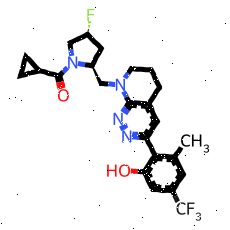 Cc1cc(C(F)(F)F)cc(O)c1-c1cc2c(nn1)N(C[C@@H]1C[C@@H](F)CN1C(=O)C1CC1)CCC2